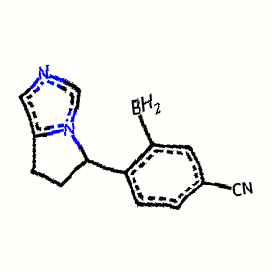 Bc1cc(C#N)ccc1C1CCc2cncn21